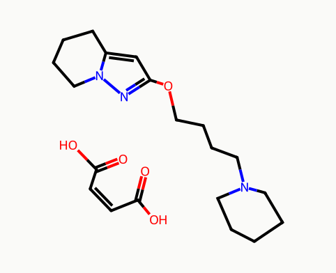 O=C(O)/C=C\C(=O)O.c1c(OCCCCN2CCCCC2)nn2c1CCCC2